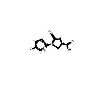 O=C(O)C1CC(=O)N(c2ccc(Cl)cc2)C1